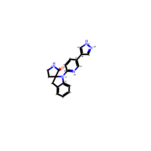 O=C1NCCC12Cc1ccccc1N2c1ccc(-c2cn[nH]c2)cn1